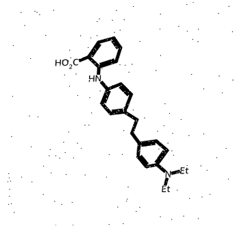 CCN(CC)c1ccc(CCc2ccc(Nc3ccccc3C(=O)O)cc2)cc1